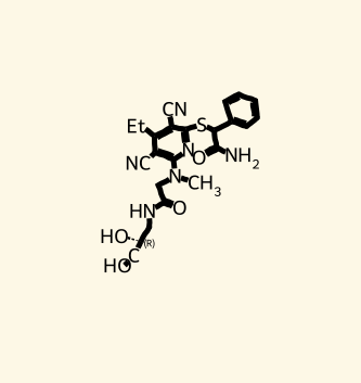 CCc1c(C#N)c(SC(C(N)=O)c2ccccc2)nc(N(C)CC(=O)NC[C@@H](O)CO)c1C#N